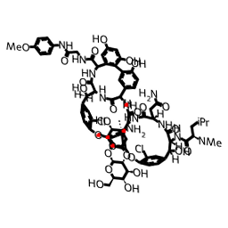 CN[C@H](CC(C)C)C(=O)N[C@H]1C(=O)N[C@@H](CC(N)=O)C(=O)NC2C(=O)N[C@H]3C(=O)N[C@H](C(=O)NC(C(=O)NCC(=O)Nc4ccc(OC)cc4)c4cc(O)cc(O)c4-c4cc3ccc4O)[C@H](O)c3ccc(c(Cl)c3)Oc3cc2cc(c3O[C@@H]2O[C@H](CO)[C@@H](O)[C@H](O)[C@H]2OC2C[C@](C)(N)[C@H](O)[C@H](C)O2)Oc2ccc(cc2Cl)[C@H]1O